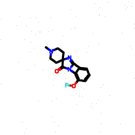 CN1CCC2(CC1)N=C1c3cccc(OF)c3N1C2=O